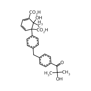 CC(C)(O)C(=O)c1ccc(Cc2ccc(C3(C(=O)O)C=CC=C(C(=O)O)C3(C)O)cc2)cc1